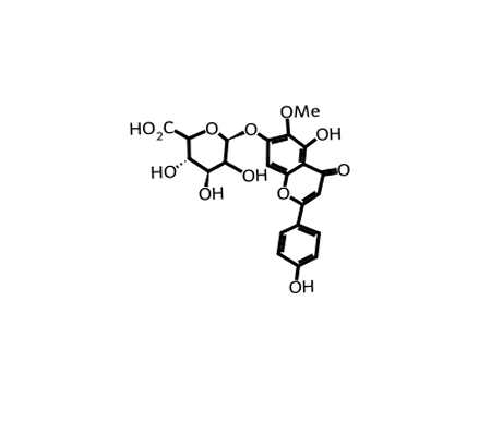 COc1c(O[C@@H]2OC(C(=O)O)[C@@H](O)[C@H](O)C2O)cc2oc(-c3ccc(O)cc3)cc(=O)c2c1O